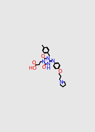 Cc1ccc(Cn2c(=O)n(CCC(=O)O)c(=O)[nH]/c2=N\c2ccc(OCCCN3CCCC3)cc2)cc1